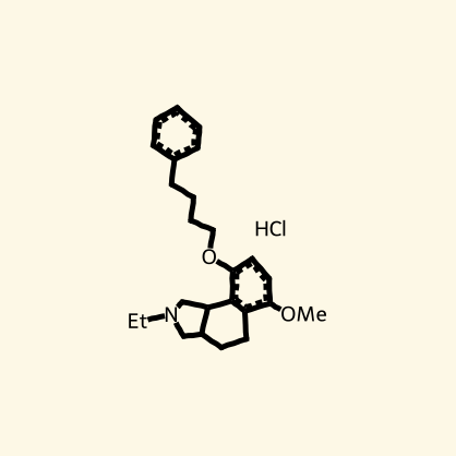 CCN1CC2CCc3c(OC)ccc(OCCCCc4ccccc4)c3C2C1.Cl